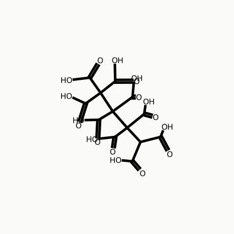 O=C(O)C(C(=O)O)C(C(=O)O)(C(=O)O)C(C(=O)O)(C(=O)O)C(C(=O)O)(C(=O)O)C(=O)O